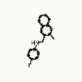 Cc1cc2ccccc2cc1CNc1ccc(F)cc1